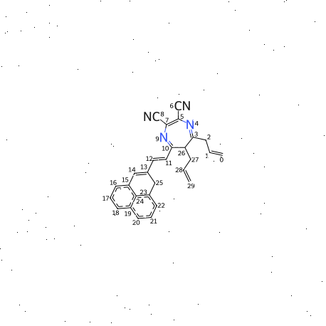 C=CCC1=NC(C#N)=C(C#N)N=C(C=CC2=Cc3cccc4cccc(c34)C2)C1CC=C